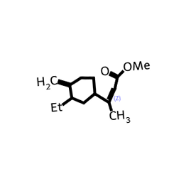 C=C1CCC(/C(C)=C\C(=O)OC)CC1CC